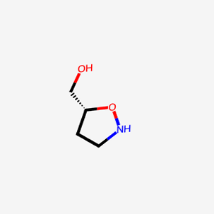 OC[C@H]1CCNO1